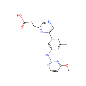 COc1ccnc(Nc2cc(C)cc(-c3cncc(CCC(=O)O)n3)c2)n1